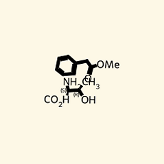 COC(=O)Cc1ccccc1.C[C@@H](O)[C@H](N)C(=O)O